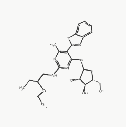 CCOC(CC)CNc1nc(C)c(-c2nc3ccccc3s2)c(NC2C[C@H](CO)[C@@H](O)[C@H]2O)n1